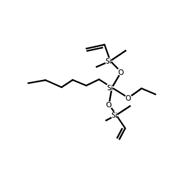 C=C[Si](C)(C)O[Si](CCCCCC)(OCC)O[Si](C)(C)C=C